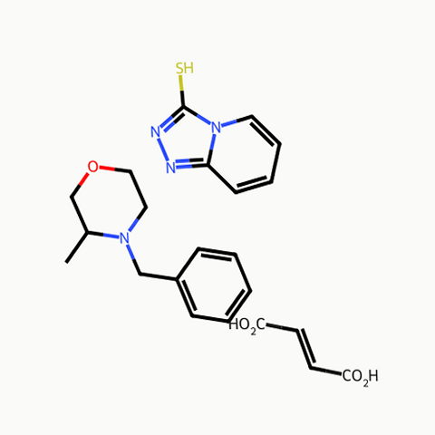 CC1COCCN1Cc1ccccc1.O=C(O)C=CC(=O)O.Sc1nnc2ccccn12